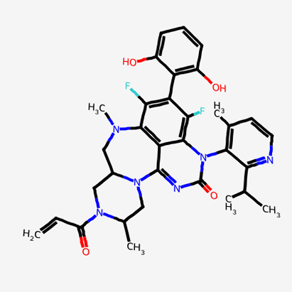 C=CC(=O)N1CC2CN(C)c3c(F)c(-c4c(O)cccc4O)c(F)c4c3c(nc(=O)n4-c3c(C)ccnc3C(C)C)N2CC1C